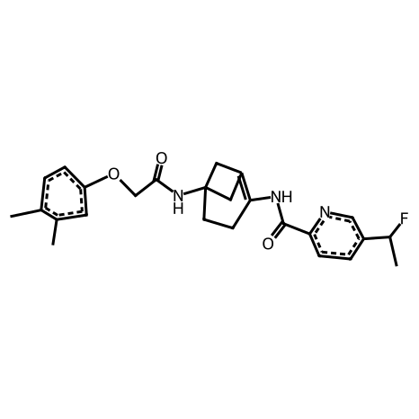 Cc1ccc(OCC(=O)NC23CCC(NC(=O)c4ccc(C(C)F)cn4)=C(C2)C3)cc1C